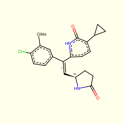 COc1cc(/C(=C/[C@H]2CCC(=O)N2)c2ccc(C3CC3)c(=O)[nH]2)ccc1Cl